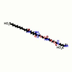 CCN[C@@H](CCCCNC(=O)COCCOCCNC(=O)COCCOCCNC(=O)[C@@H](N)CCCCNC(=O)CCCCCCCCCCCCCCCS(=O)(=O)O)C(=O)O